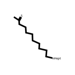 CCCCCCCCCCCCCCC[CH]C(C)=S